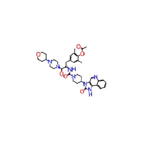 CC(=O)Oc1c(C)cc(C[C@@H](NC(=O)N2CCC(n3c(=O)[nH]c4c5ccccc5ncc43)CC2)C(=O)N2CCN(C3CCOCC3)CC2)cc1C